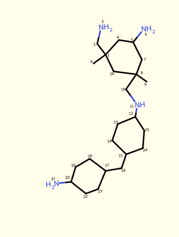 CC1(CN)CC(N)CC(C)(CNC2CCC(CC3CCC(N)CC3)CC2)C1